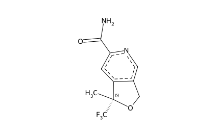 C[C@]1(C(F)(F)F)OCc2cnc(C(N)=O)cc21